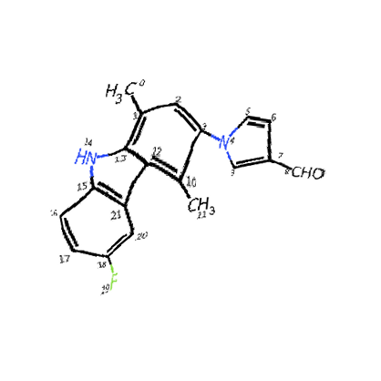 Cc1cc(-n2ccc(C=O)c2)c(C)c2c1[nH]c1ccc(F)cc12